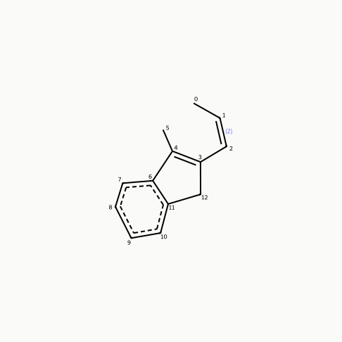 C/C=C\C1=C(C)c2ccccc2C1